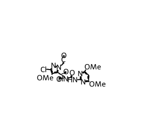 COc1cc(OC)nc(NC(=O)NS(=O)(=O)c2c(OC)c(Cl)nn2C=C=O)n1